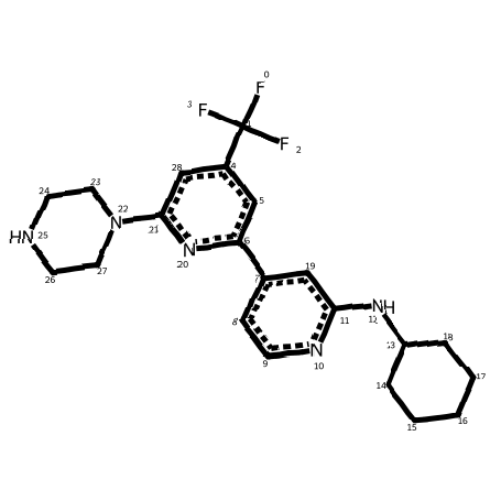 FC(F)(F)c1cc(-c2ccnc(NC3CCCCC3)c2)nc(N2CCNCC2)c1